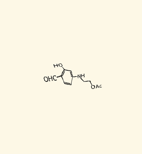 CC(=O)OCCNc1ccc(C=O)c(O)c1